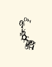 O=C(O)CSc1nc2ccc([N+](=O)O)cc2s1